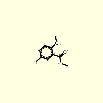 [CH2]c1ccc(OC)c(C(=O)OC)c1